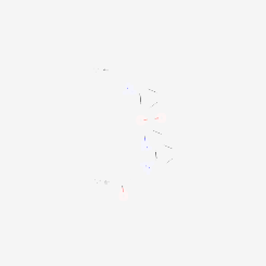 COC(=O)C1CCN(c2cccc3cc(S(=O)(=O)c4cccc(N5CCC(OC)C5)c4)cnc23)CC1